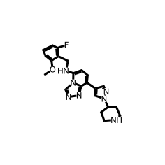 COc1cccc(F)c1CNc1ccc(-c2cnn(C3CCNCC3)c2)c2nncn12